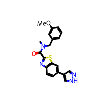 COc1cccc(CN(C)C(=O)c2nc3ccc(-c4cn[nH]c4)cc3s2)c1